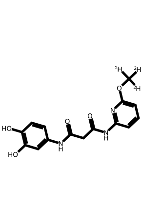 [2H]C([2H])([2H])Oc1cccc(NC(=O)CC(=O)Nc2ccc(O)c(O)c2)n1